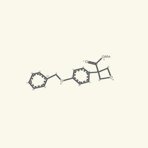 COC(=O)C1(c2ccc(OCc3ccccc3)cc2)COC1